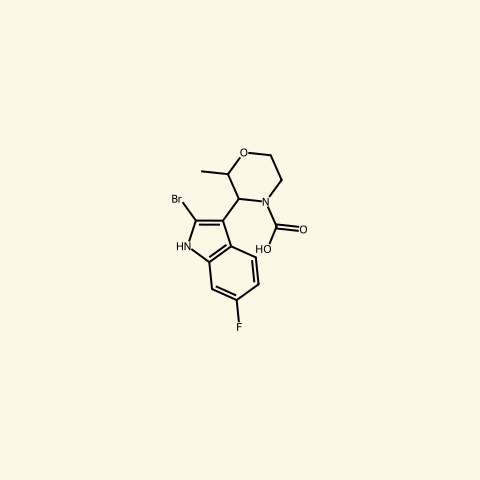 CC1OCCN(C(=O)O)C1c1c(Br)[nH]c2cc(F)ccc12